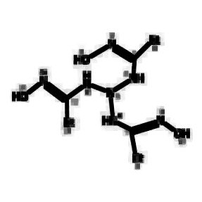 CCC(=NO)NN(NC(CC)=NO)NC(CC)=NO